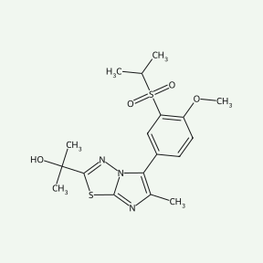 COc1ccc(-c2c(C)nc3sc(C(C)(C)O)nn23)cc1S(=O)(=O)C(C)C